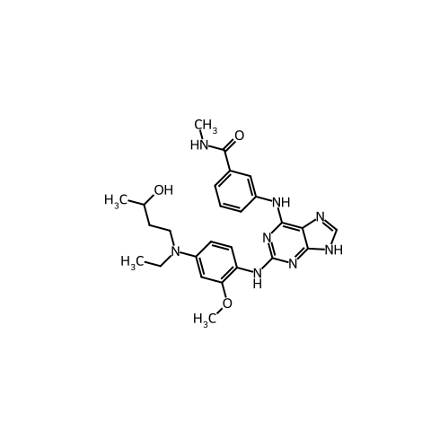 CCN(CCC(C)O)c1ccc(Nc2nc(Nc3cccc(C(=O)NC)c3)c3nc[nH]c3n2)c(OC)c1